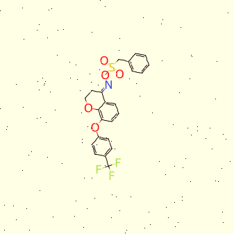 O=S(=O)(Cc1ccccc1)ON=C1CCOc2c(Oc3ccc(C(F)(F)F)cc3)cccc21